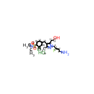 Cc1nn(C/C(F)=C/CN)c(CCO)c1Cc1ccc(S(=O)(=O)N(C)C)c(Cl)c1.Cl